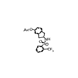 CC(=O)Oc1ccc2c(c1)CC(NS(=O)(=O)c1ccccc1C(F)(F)F)C2